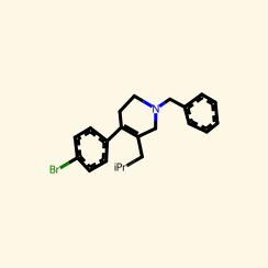 CC(C)CC1=C(c2ccc(Br)cc2)CCN(Cc2ccccc2)C1